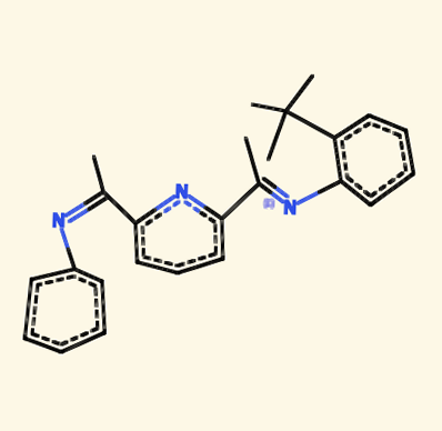 CC(=Nc1ccccc1)c1cccc(/C(C)=N/c2ccccc2C(C)(C)C)n1